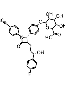 C#Cc1ccc(N2C(=O)C(CC[C@H](O)c3ccc(F)cc3)[C@H]2c2ccc(O[C@@H]3O[C@H](C(=O)O)C(O)[C@H](O)C3O)cc2)cc1